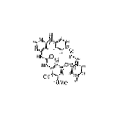 COc1cc(OC)c(Cl)c(NC(=O)Nc2cc(Nc3ccc(OCCN4CCN(C)CC4)cc3)ncn2)c1Cl